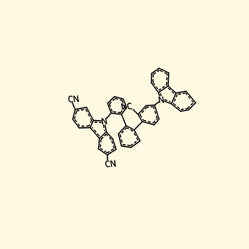 N#Cc1ccc2c(c1)c1ccc(C#N)cc1n2-c1ccccc1-c1ccccc1-c1ccc(-n2c3ccccc3c3ccccc32)cc1C#N